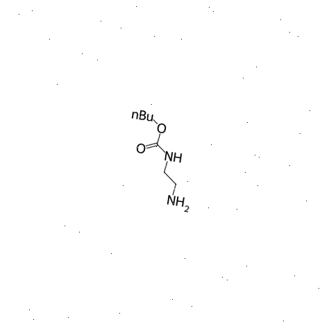 CCCCOC(=O)NCCN